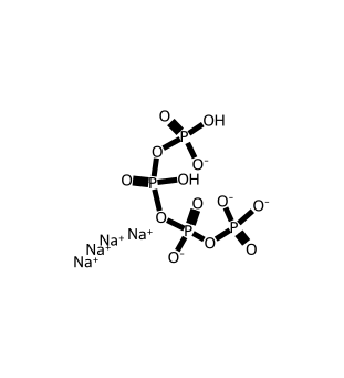 O=P([O-])([O-])OP(=O)([O-])OP(=O)(O)OP(=O)([O-])O.[Na+].[Na+].[Na+].[Na+]